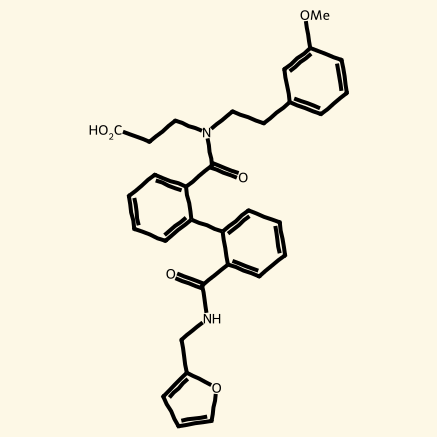 COc1cccc(CCN(CCC(=O)O)C(=O)c2ccccc2-c2ccccc2C(=O)NCc2ccco2)c1